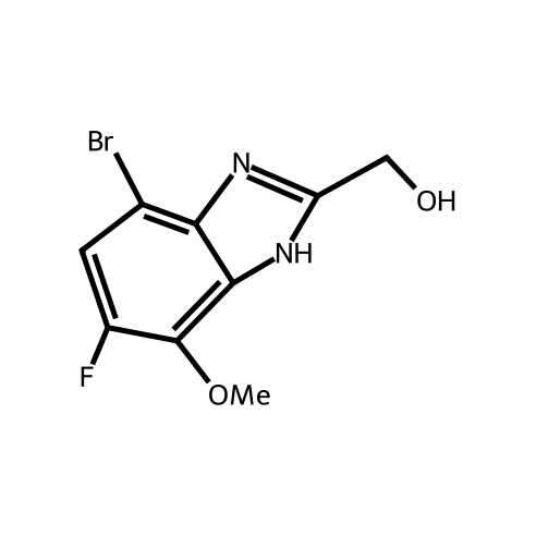 COc1c(F)cc(Br)c2nc(CO)[nH]c12